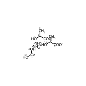 CC(O)C(=O)[O-].CC(O)C(=O)[O-].[NH4+].[NH4+].[OH][Ce][OH]